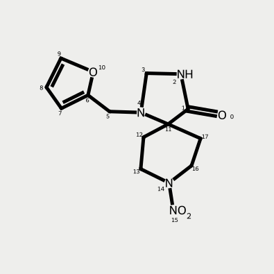 O=C1NCN(Cc2ccco2)C12CCN([N+](=O)[O-])CC2